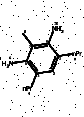 CCCc1cc(CCC)c(N)c(C)c1N